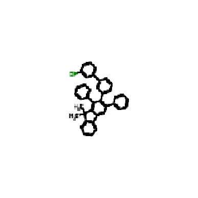 CC1(C)c2ccccc2-c2cc(-c3ccccc3)c(-c3cccc(-c4cccc(Cl)c4)c3)c(-c3ccccc3)c21